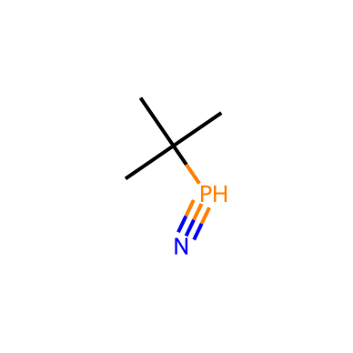 CC(C)(C)[PH]#N